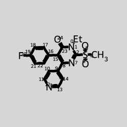 CCn1c(S(C)(=O)=O)nc(-c2ccncc2)c(-c2ccc(F)cc2)c1=O